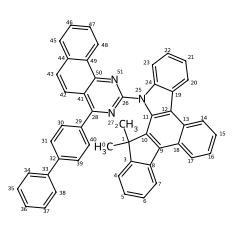 CC1(C)c2ccccc2-c2c1c1c(c3ccccc23)c2ccccc2n1-c1nc(-c2ccc(-c3ccccc3)cc2)c2ccc3ccccc3c2n1